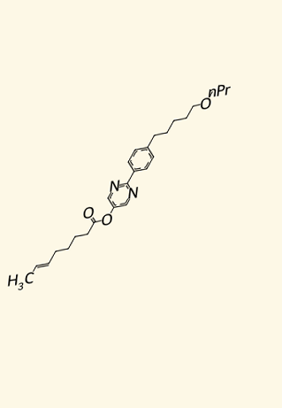 CC=CCCCCC(=O)Oc1cnc(-c2ccc(CCCCCOCCC)cc2)nc1